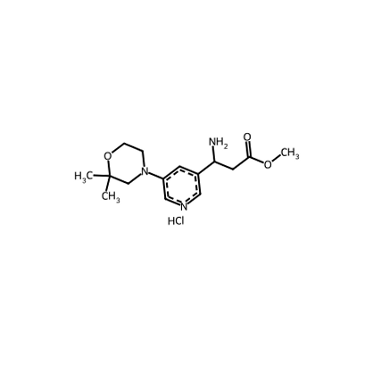 COC(=O)CC(N)c1cncc(N2CCOC(C)(C)C2)c1.Cl